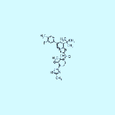 Cc1nc(N2CCN(C(=O)c3cn4nc(-c5ccc(C)c(F)c5)cc(C(C)(C)C)c4n3)C(C)(C)C2=O)c[nH]1